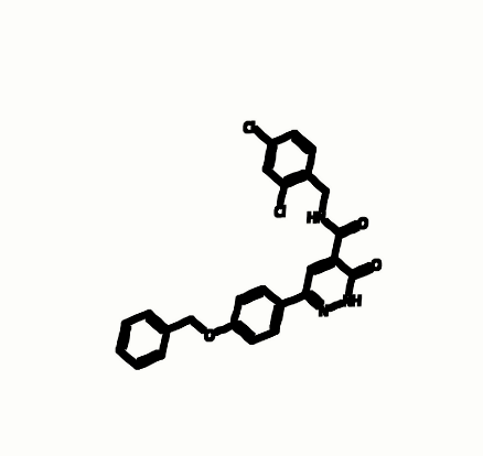 O=C(NCc1ccc(Cl)cc1Cl)c1cc(-c2ccc(OCc3ccccc3)cc2)n[nH]c1=O